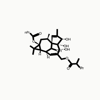 CCCC(=O)O[C@@]12C[C@@H](C)[C@]34C=C(C)[C@H](O)[C@@]3(O)[C@H](O)C(COC(=O)C(C)C(C)C)=C[C@H](C4O)[C@@H]1C2(C)C